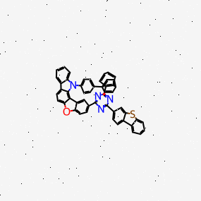 c1ccc(-c2ccc(-n3c4ccccc4c4ccc5oc6ccc(-c7nc(-c8ccccc8)nc(-c8ccc9c(c8)sc8ccccc89)n7)cc6c5c43)cc2)cc1